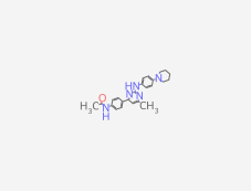 CC(=O)Nc1ccc(-c2cc(C)nc(Nc3ccc(N4CCCCC4)cc3)n2)cc1